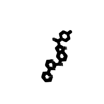 CC1CCN(C(=O)c2cc3cc(Nc4nccc(-c5ccccn5)n4)ccc3[nH]2)CC1